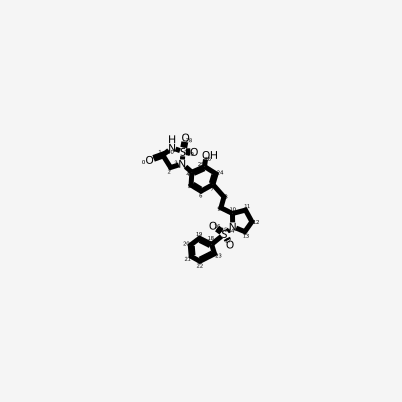 O=C1CN(c2ccc(CCC3CCCN3S(=O)(=O)c3ccccc3)cc2O)S(=O)(=O)N1